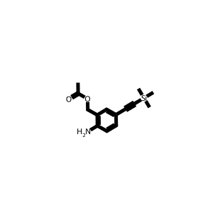 CC(=O)OCc1cc(C#C[Si](C)(C)C)ccc1N